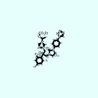 CCOC(=O)OC(C)n1cn[n+](C[C@](O)(c2ccc(F)cc2F)[C@@H](C)N2CCN(c3ccc(-n4cnnn4)cc3)C2=O)c1.[Cl-]